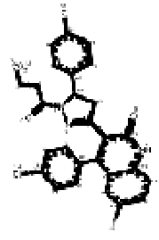 O=C(O)CCC(=O)N1N=C(c2c(-c3ccc(Cl)cc3)c3cc(F)ccc3[nH]c2=O)CC1c1ccc(Cl)cc1